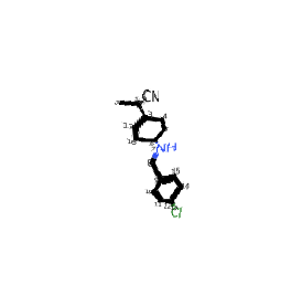 CC(C#N)[C@H]1CC[C@H](NCc2ccc(Cl)cc2)CC1